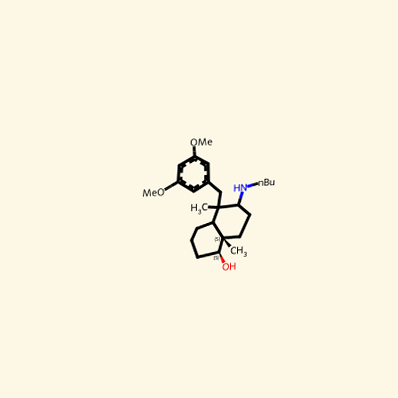 CCCCNC1CC[C@@]2(C)C(CCC[C@@H]2O)C1(C)Cc1cc(OC)cc(OC)c1